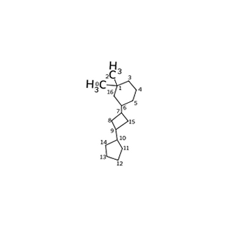 CC1(C)CCCC(C2CC(C3CCCC3)C2)C1